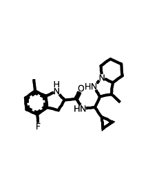 Cc1ccc(F)c2c1NC(C(=O)NC(C1CC1)C1NN3CCCCC3C1C)C2